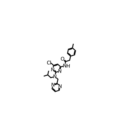 Cc1ccc(CC(=O)Nc2cc(Cl)nc(N(Cc3ncccn3)CC(C)C)n2)cc1